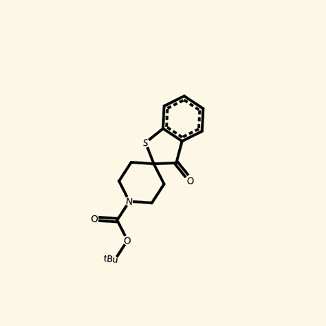 CC(C)(C)OC(=O)N1CCC2(CC1)Sc1ccccc1C2=O